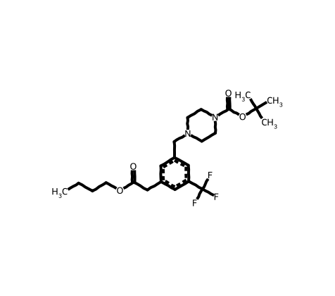 CCCCOC(=O)Cc1cc(CN2CCN(C(=O)OC(C)(C)C)CC2)cc(C(F)(F)F)c1